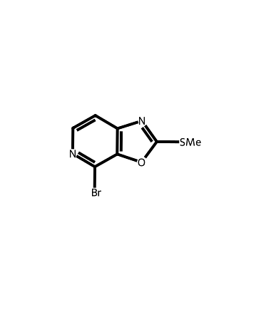 CSc1nc2ccnc(Br)c2o1